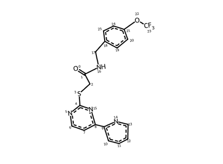 O=C(CSc1nccc(-c2ccccn2)n1)NCc1ccc(OC(F)(F)F)cc1